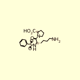 NCCCC[C@H](NS(=O)(=O)c1ccccc1)C(=O)N1CCC[C@H]1C(=O)O